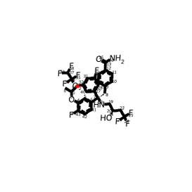 CC(C)Oc1cc([C@](Cc2ccc(C(N)=O)cc2)(NC[C@H](O)CC(F)(F)F)c2cc(F)cc(OC(F)(F)C(F)F)c2)ccc1F